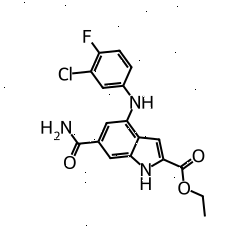 CCOC(=O)c1cc2c(Nc3ccc(F)c(Cl)c3)cc(C(N)=O)cc2[nH]1